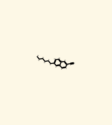 C#Cc1ccc2cc(CCCCCC)ccc2c1